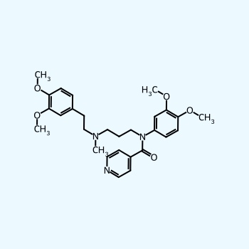 COc1ccc(CCN(C)CCCN(C(=O)c2ccncc2)c2ccc(OC)c(OC)c2)cc1OC